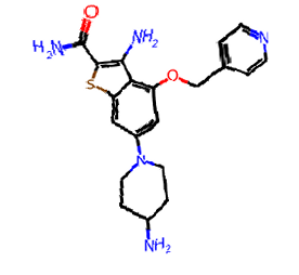 NC(=O)c1sc2cc(N3CCC(N)CC3)cc(OCc3ccncc3)c2c1N